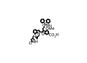 COc1cc(C(=O)O)cc2oc(-c3cc4cccc(OCC5CNC(=O)C5)c4n3CC3CC3)c(CCO[Si](c3ccccc3)(c3ccccc3)C(C)(C)C)c12